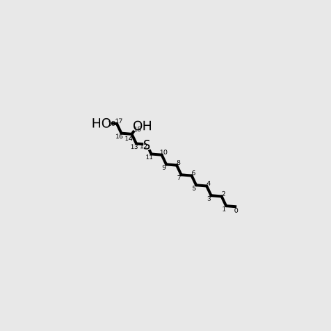 CCCCCCCCCCCCSCC(O)CCO